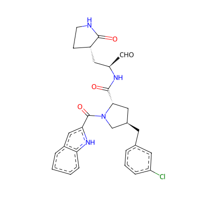 O=C[C@H](C[C@@H]1CCNC1=O)NC(=O)[C@@H]1C[C@@H](Cc2cccc(Cl)c2)CN1C(=O)c1cc2ccccc2[nH]1